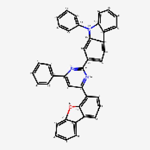 c1ccc(-c2cc(-c3cccc4c3oc3ccccc34)nc(-c3ccc4c5ccccc5n(-c5ccccc5)c4c3)n2)cc1